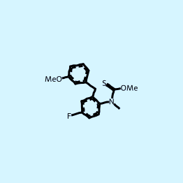 COC(=S)N(C)c1ccc(F)cc1Cc1cccc(OC)c1